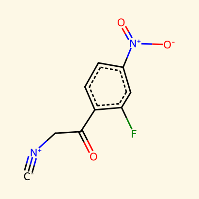 [C-]#[N+]CC(=O)c1ccc([N+](=O)[O-])cc1F